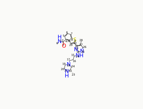 CNC(=O)c1cccc2sc(-c3nc(NCCCN4CCN[C@@H](C)C4)ncc3C)cc12